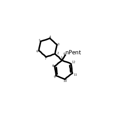 CCCCCC1(C2CCCCC2)C=C[CH]C=C1